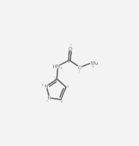 CC(C)(C)OC(=O)NC1=N[N]C=C1